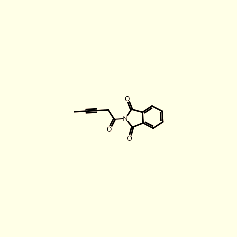 CC#CCC(=O)N1C(=O)c2ccccc2C1=O